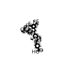 CC[C@@H]1C[C@H](N(Cc2cc(C(F)(F)F)cc(C(F)(F)F)c2)c2ncc(N3CCOC3=O)cn2)C[C@H](CC)N1C(=O)OC1CCC(C(=O)O)CC1